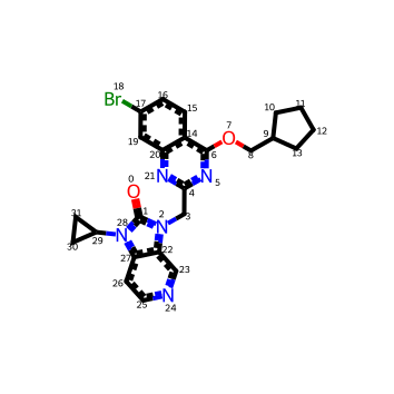 O=c1n(Cc2nc(OCC3CCCC3)c3ccc(Br)cc3n2)c2cnccc2n1C1CC1